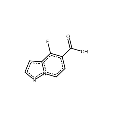 O=C(O)c1ccn2nccc2c1F